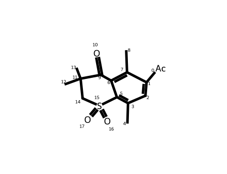 CC(=O)c1cc(C)c2c(c1C)C(=O)C(C)(C)CS2(=O)=O